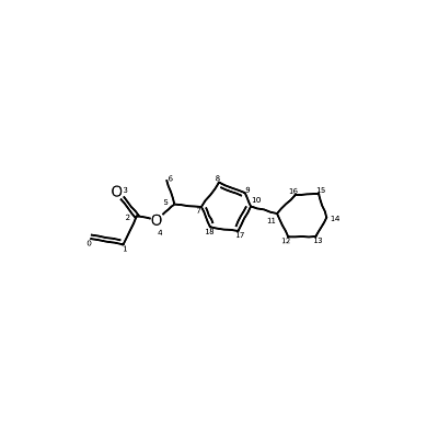 C=CC(=O)OC(C)c1ccc(C2CCCCC2)cc1